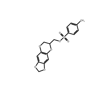 Cc1ccc(S(=O)(=O)OCC2COc3cc4c(cc3O2)OCO4)cc1